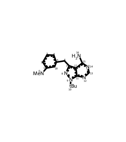 CNc1cccc(Cc2nn(C(C)(C)C)c3ncnc(N)c23)c1